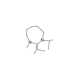 CC(C)=C1N(C)CCCCCN1C(C)C